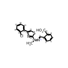 CN(/N=C/c1ccccc1C(=O)O)c1nc(-c2ccccc2Cl)cs1